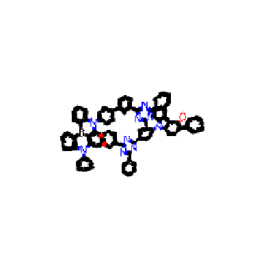 c1ccc(-c2nc(-c3ccccc3)nc(-c3ccc(-n4c5ccccc5c5c6oc7ccccc7c6ccc54)c(-c4nc(-c5ccccc5)nc(-c5cccc(-c6ccc(N7c8ccccc8B8c9ccccc9N(c9ccccc9)c9cccc7c98)cc6)c5)n4)c3)n2)cc1